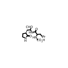 CC(C)CC(NC(=O)O)C(=O)NC(C=O)C[C@@H]1CCNC1=O